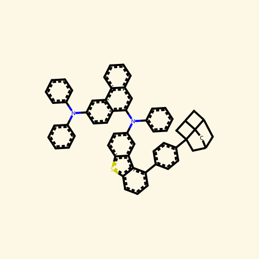 c1ccc(N(c2ccccc2)c2ccc3c(N(c4ccccc4)c4ccc5sc6cccc(-c7ccc(C89CC%10CC%11CC(C8)C%119C%10)cc7)c6c5c4)cc4ccccc4c3c2)cc1